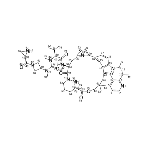 CCn1c(-c2cccnc2C(C)C)c2c3cc(ccc31)-c1csc(n1)C[C@H](NC(=O)[C@H](C(C)C)N(C)C(=O)N(C)C1CN(C(=O)[C@H]3CN3)C1)C(=O)N1CCC[C@H](N1)C(=O)OCC(C)(C)C2